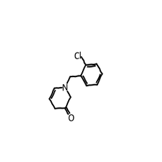 O=C1CC=CN(Cc2ccccc2Cl)C1